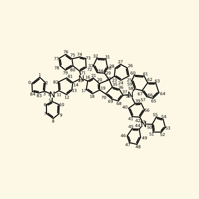 c1ccc(N(c2ccccc2)c2ccc(N(c3ccc4c(c3)C(c3ccccc3)(c3ccccc3)c3cc(N(c5ccc(N(c6ccccc6)c6ccccc6)cc5)c5cccc6ccccc56)ccc3-4)c3cccc4ccccc34)cc2)cc1